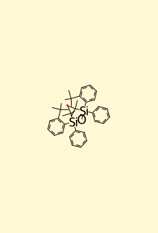 CC(C)(C)c1ccccc1[Si](O[Si](c1ccccc1)(c1ccccc1C(C)(C)C)C(C)(C)C)(c1ccccc1)C(C)(C)C